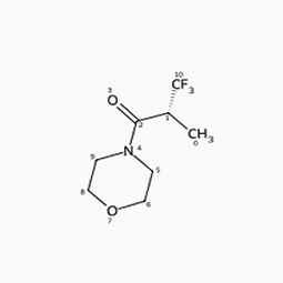 C[C@H](C(=O)N1CCOCC1)C(F)(F)F